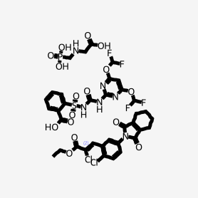 CCOC(=O)/C(Cl)=C/c1cc(N2C(=O)C3=C(CCCC3)C2=O)ccc1Cl.O=C(Nc1nc(OC(F)F)cc(OC(F)F)n1)NS(=O)(=O)c1ccccc1C(=O)O.O=C(O)CNCP(=O)(O)O